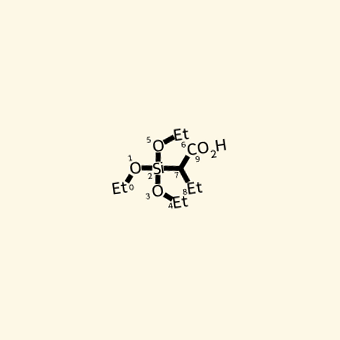 CCO[Si](OCC)(OCC)C(CC)C(=O)O